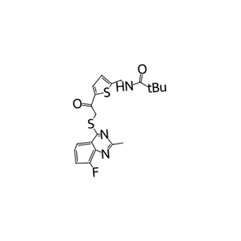 Cc1nc(SCC(=O)c2ccc(CNC(=O)C(C)(C)C)s2)c2cccc(F)c2n1